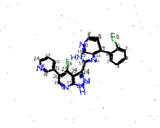 Fc1ccccc1-c1ccnc2[nH]c(-c3n[nH]c4ncc(-c5cccnc5)c(F)c34)nc12